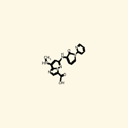 CNc1cc(Nc2cccn(-c3ccccn3)c2=O)nn2c(C(=O)O)cnc12